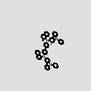 CC1CC=c2ccccc2=C1N(c1ccc(-c2ccc(N(c3ccc4c(c3)c3ccccc3n4C3=CC#CCC3)c3cccc4ccccc34)cc2)cc1)C1C=c2c(n(-c3ccccc3)c3ccccc23)=C[C@H]1C